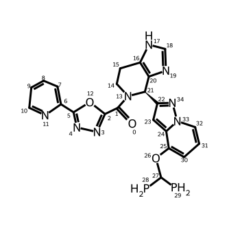 O=C(c1nnc(-c2ccccn2)o1)N1CCc2[nH]cnc2[C@H]1c1cc2c(OC(P)P)cccn2n1